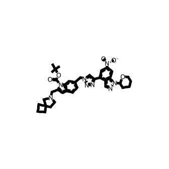 CC(C)(C)OC(=O)n1c(CN2CCC3(CCC3)C2)cc2ccc(Cn3cc(-c4cc([N+](=O)[O-])cc5c4cnn5C4CCCCO4)nn3)cc21